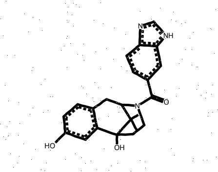 CC1(C)C2Cc3ccc(O)cc3C1(O)CCN2C(=O)c1ccc2nc[nH]c2c1